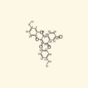 CCc1ccc(OC2=C(Oc3ccc(CC)cc3)C(=O)c3cc(Cl)ccc3C2=O)cc1